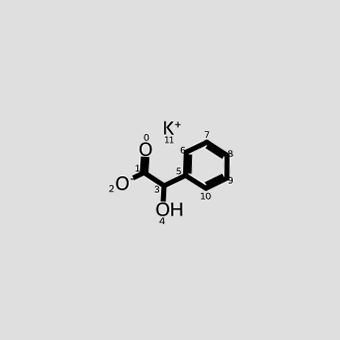 O=C([O-])C(O)c1ccccc1.[K+]